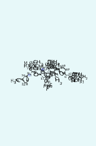 C=C(CC(/C=C/C[C@H](OC(=O)CP(=O)(OCC(F)(F)F)OCC(F)(F)F)C(/C=C/[C@@H]1CC(C)=CCO1)O[Si](C)(C)C(C)(C)C)O[Si](C)(C)C(C)(C)C)C[C@H](C)C[C@@H]1CC=C[C@@H](CCO[Si](C)(C)C(C)(C)C)O1